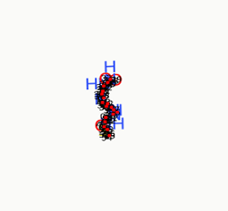 Cc1cc(-c2ncnn3cc(-c4ccc(CN5CCC(c6ccc(N[C@H]7CCC(=O)NC7=O)cc6)CC5)cc4)cc23)ccc1CNC(=O)c1cc2c(s1)CCCC2